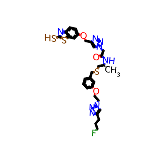 C[C@@H](CSCc1cccc(OCCn2cc(CCCF)nn2)c1)NC(=O)Cn1cc(COc2ccc3nc(S)sc3c2)nn1